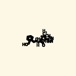 CC1(C)S[C@@H]2C(NC(=O)Cc3ccccc3CO)C(=O)N2C1c1nnn[nH]1